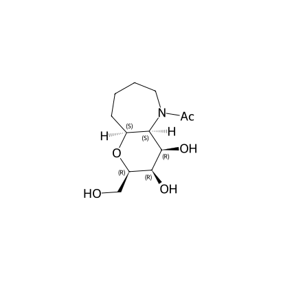 CC(=O)N1CCCC[C@@H]2O[C@H](CO)[C@H](O)[C@H](O)[C@@H]21